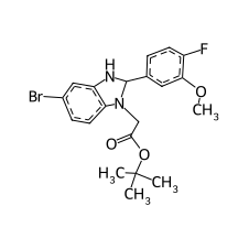 COc1cc(C2Nc3cc(Br)ccc3N2CC(=O)OC(C)(C)C)ccc1F